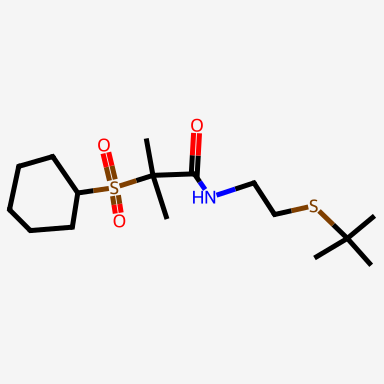 CC(C)(C)SCCNC(=O)C(C)(C)S(=O)(=O)C1CCCCC1